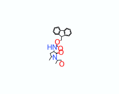 CC(C=O)N1C(=O)C(NC(=O)OCC2c3ccccc3-c3ccccc32)CC1C